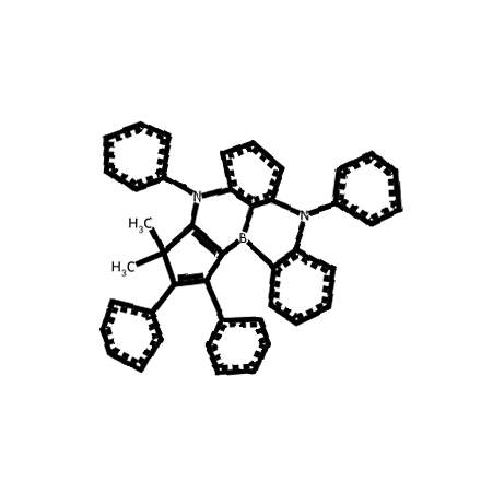 CC1(C)C(c2ccccc2)=C(c2ccccc2)C2=C1N(c1ccccc1)c1cccc3c1B2c1ccccc1N3c1ccccc1